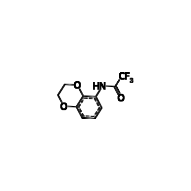 O=C(Nc1cccc2c1OCCO2)C(F)(F)F